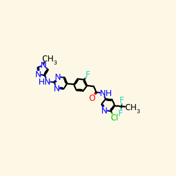 Cn1cnc(Nc2ncc(-c3ccc(CC(=O)Nc4cnc(Cl)c(C(C)(F)F)c4)c(F)c3)cn2)c1